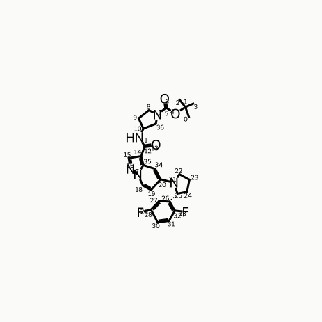 CC(C)(C)OC(=O)N1CCC(NC(=O)c2cnn3ccc(N4CCC[C@@H]4c4cc(F)ccc4F)cc23)C1